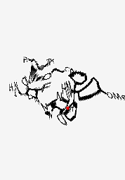 COc1ccc(C(Nc2nc3c(ncn3[C@@H]3O[C@H](CN)[C@@H](OP(OCCC#N)N(C(C)C)C(C)C)[C@H]3F)c(=O)[nH]2)(c2ccccc2)c2ccccc2)cc1